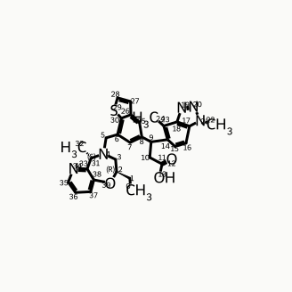 CC[C@@H]1CN(Cc2cc(C(CC(=O)O)c3ccc4c(nnn4C)c3C)cc3ccsc23)[C@@H](C)c2ncccc2O1